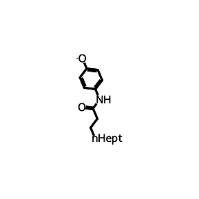 CCCCCCCCCC(=O)Nc1ccc([O])cc1